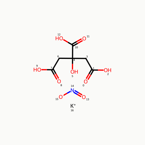 O=C(O)CC(O)(CC(=O)O)C(=O)O.O=N[O-].[K+]